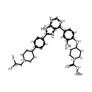 CC(C)(C)OC(=O)N1CCC(Oc2ccc(-c3ncnc4[nH]c(-c5ccc(C6CCN(CC(F)F)CC6)cc5)nc34)cc2C#N)CC1